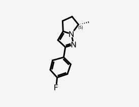 C[C@H]1CCc2cc(-c3ccc(F)cc3)nn21